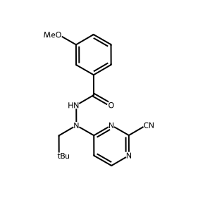 COc1cccc(C(=O)NN(CC(C)(C)C)c2ccnc(C#N)n2)c1